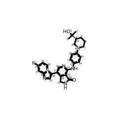 CC(C)(O)[C@H]1CCCN(c2ccc(Nc3ncc(-c4cnc5cc(F)ccn45)c4c3C(=O)NC4)cc2)C1